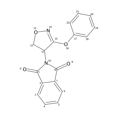 O=C1c2ccccc2C(=O)N1C1CON=C1Oc1ccccc1